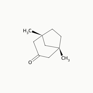 C[C@]12CC[C@](C)(CC(=O)C1)C2